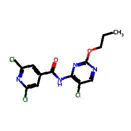 CCCOc1ncc(Cl)c(NC(=O)c2cc(Cl)nc(Cl)c2)n1